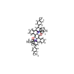 Cc1ccc(-c2cc(-c3ccccc3-c3c4nc(=C(C#N)C#N)oc4c(-c4ccccc4-c4cc(-c5ccc(C(F)(F)F)cc5)cc(C(F)(F)F)c4)c4nc(=C(C#N)C#N)oc34)cc(C(F)(F)F)c2)cc1